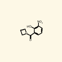 O=C(c1cccc([N+](=O)[O-])c1O)N1CCC1